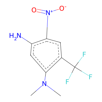 CN(C)c1cc(N)c([N+](=O)[O-])cc1C(F)(F)F